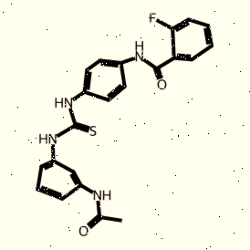 CC(=O)Nc1cccc(NC(=S)Nc2ccc(NC(=O)c3ccccc3F)cc2)c1